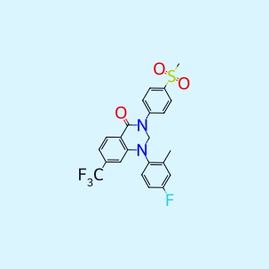 Cc1cc(F)ccc1N1CN(c2ccc(S(C)(=O)=O)cc2)C(=O)c2ccc(C(F)(F)F)cc21